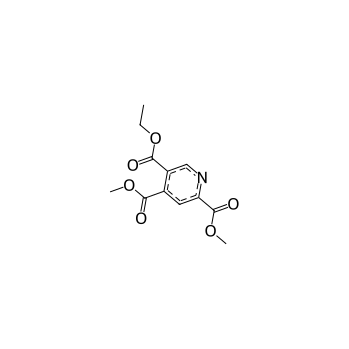 CCOC(=O)c1cnc(C(=O)OC)cc1C(=O)OC